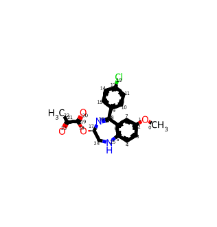 COc1ccc2c(c1)C(c1ccc(Cl)cc1)=N[C@@H](OC(=O)C(C)=O)CN2